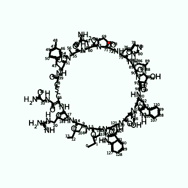 CCCC[C@H]1C(=O)N(C)[C@@H](CCCC)C(=O)N[C@@H](CCCNC(=N)N)C(=O)N[C@H](C(=O)NCC(N)=O)CSCC(=O)N[C@@H](Cc2ccc(C)cc2)C(=O)N(C)[C@@H](C)C(=O)N[C@@H](CC(N)=O)C(=O)N2CCC[C@H]2C(=O)N[C@@H](Cc2cnc[nH]2)C(=O)N[C@@H](CC(C)C)C(=O)N2C[C@H](O)C[C@H]2C(=O)N[C@@H](Cc2c[nH]c3ccccc23)C(=O)N[C@@H](CO)C(=O)N[C@@H](Cc2c[nH]c3ccccc23)C(=O)N1C